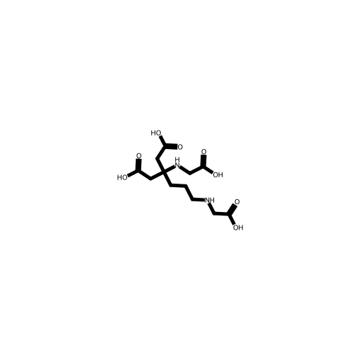 O=C(O)CNCCCC(CC(=O)O)(CC(=O)O)NCC(=O)O